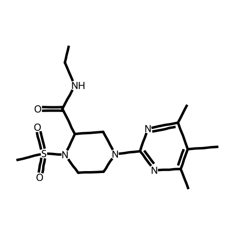 CCNC(=O)C1CN(c2nc(C)c(C)c(C)n2)CCN1S(C)(=O)=O